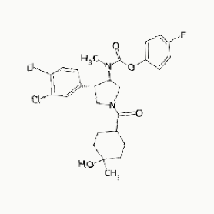 CN(C(=O)Oc1ccc(F)cc1)[C@H]1CN(C(=O)C2CCC(C)(O)CC2)C[C@@H]1c1ccc(Cl)c(Cl)c1